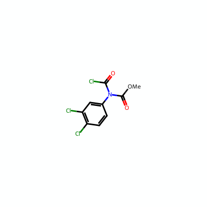 COC(=O)N(C(=O)Cl)c1ccc(Cl)c(Cl)c1